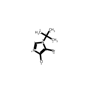 CC(C)(C)n1cnc(Cl)c1Br